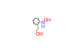 OCCc1ccccc1NO